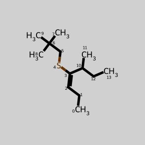 CC/C=C(/SCC(C)(C)C)C(C)CC